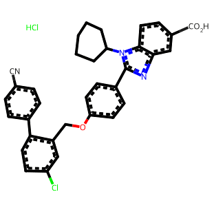 Cl.N#Cc1ccc(-c2ccc(Cl)cc2COc2ccc(-c3nc4cc(C(=O)O)ccc4n3C3CCCCC3)cc2)cc1